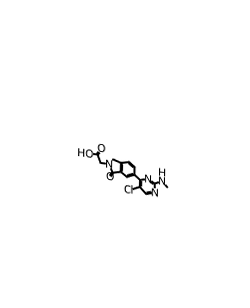 CNc1ncc(Cl)c(-c2ccc3c(c2)C(=O)N(CC(=O)O)C3)n1